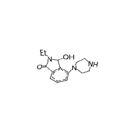 CCN1C(=O)c2cccc(N3CCNCC3)c2C1O